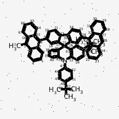 Cc1c2ccccc2c(-c2ccc3c(c2)C2(c4cc(-c5c6ccccc6cc6ccccc56)ccc4-3)c3ccccc3N(c3ccc(C(C)(C)C)cc3)c3ccc(C(C)(C)C)cc32)c2ccccc12